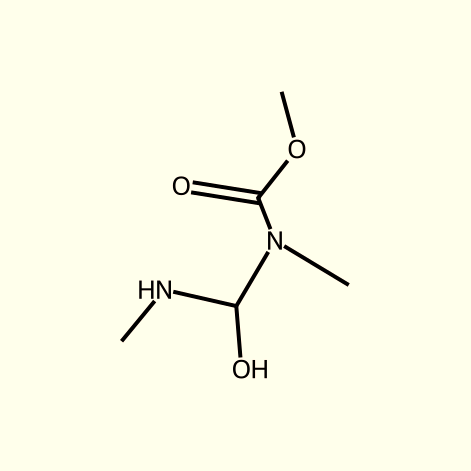 CNC(O)N(C)C(=O)OC